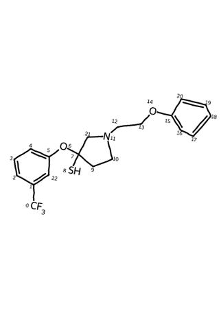 FC(F)(F)c1cccc(OC2(S)CCN(CCOc3ccccc3)C2)c1